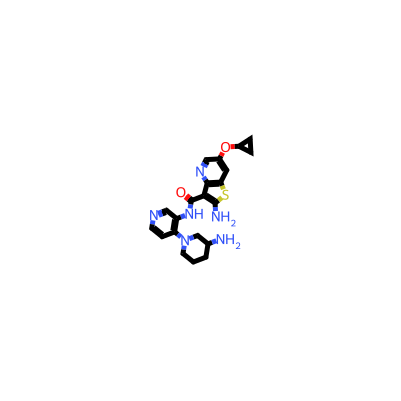 Nc1sc2cc(OC3CC3)cnc2c1C(=O)Nc1cnccc1N1CCCC(N)C1